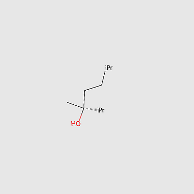 CC(C)CC[C@](C)(O)C(C)C